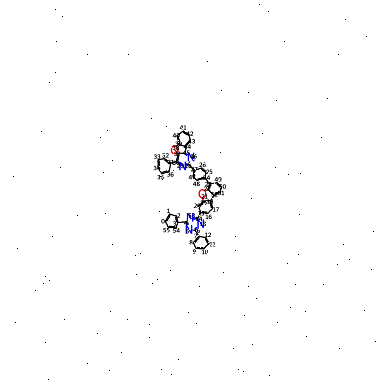 c1ccc(-c2nc(-c3ccccc3)nc(-c3ccc4c(c3)oc3c(-c5ccc(-c6nc(-c7ccccc7)c7oc8ccccc8c7n6)cc5)cccc34)n2)cc1